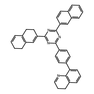 C1=CC2=C(C=C(c3nc(-c4ccc(-c5cccc6c5N=CCC6)cc4)nc(-c4ccc5ccccc5c4)n3)CC2)CC1